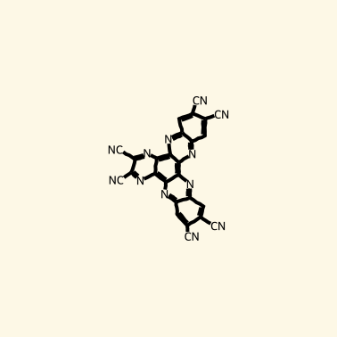 N#Cc1cc2nc3c4nc(C#N)c(C#N)nc4c4nc5cc(C#N)c(C#N)cc5nc4c3nc2cc1C#N